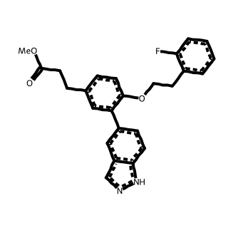 COC(=O)CCc1ccc(OCCc2ccccc2F)c(-c2ccc3[nH]ncc3c2)c1